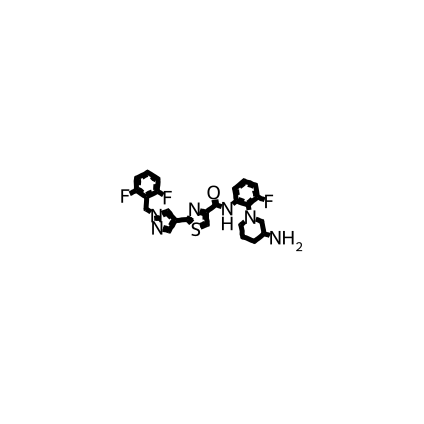 NC1CCCN(c2c(F)cccc2NC(=O)c2csc(-c3cnn(Cc4c(F)cccc4F)c3)n2)C1